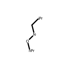 CCCO[N]CC(C)C